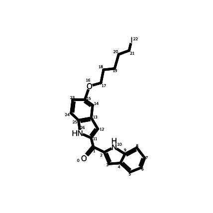 O=C(c1cc2ccccc2[nH]1)c1cc2cc(OCCCCCI)ccc2[nH]1